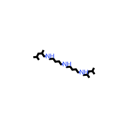 CC(C)CC(C)CNCCCCCNCCCCCNCC(C)CC(C)C